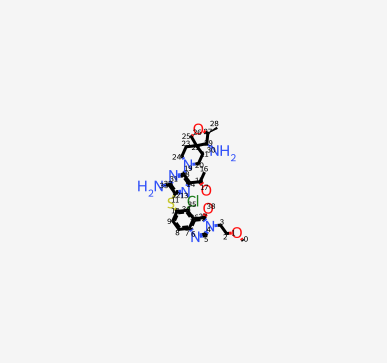 COCCn1cnc2ccc(Sc3nc(C(C)=O)c(N4CCC5(CC4)CO[C@@H](C)[C@H]5N)nc3N)c(Cl)c2c1=O